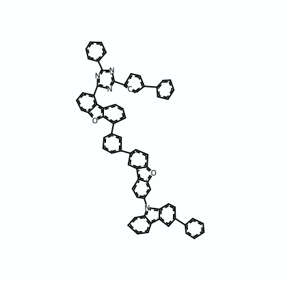 c1ccc(-c2ccc(-c3nc(-c4ccccc4)nc(-c4cccc5oc6c(-c7cccc(-c8ccc9oc%10cc(-n%11c%12ccccc%12c%12cc(-c%13ccccc%13)ccc%12%11)ccc%10c9c8)c7)cccc6c45)n3)cc2)cc1